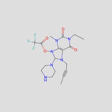 CC#CCN1c2c(n(C)c(=O)n(CC)c2=O)N(OC(=O)C(F)(F)F)C1N1CCNCC1